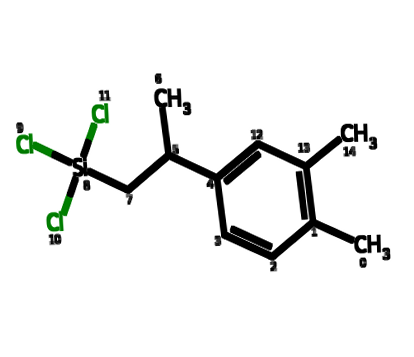 Cc1ccc(C(C)C[Si](Cl)(Cl)Cl)cc1C